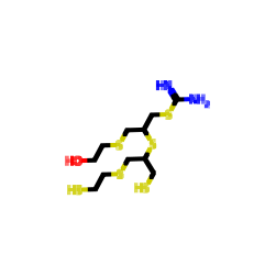 N=C(N)SCC(CSCCO)SC(CS)CSCCS